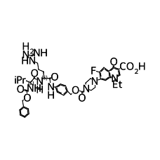 CCn1cc(C(=O)O)c(=O)c2cc(F)c(N3CCN(C(=O)OCc4ccc(NC(=O)[C@H](CCCNC(=N)N)NC(=O)[C@@H](NC(=O)OCc5ccccc5)C(C)C)cc4)CC3)cc21